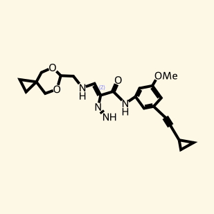 COc1cc(C#CC2CC2)cc(NC(=O)/C(=C/NCC2OCC3(CC3)CO2)N=N)c1